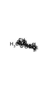 C[C@@H]1CN(C(=O)c2nn(CC(=O)N3CCN(c4cc(F)c(F)cc4Cl)CC3)c3c2CCC3)C[C@H](C)O1